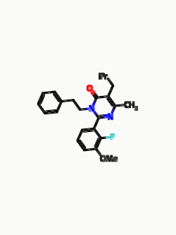 COc1cccc(-c2nc(C)c(CC(C)C)c(=O)n2CCc2ccccc2)c1F